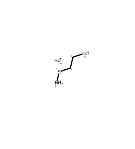 Cl.NSCCO